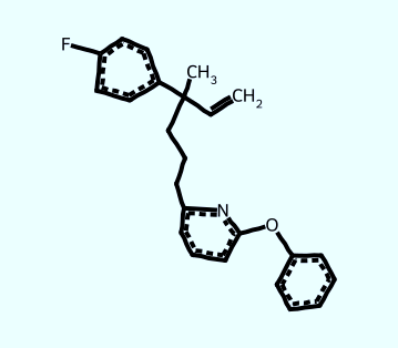 C=CC(C)(CCCc1cccc(Oc2ccccc2)n1)c1ccc(F)cc1